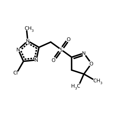 Cn1nc(Cl)nc1CS(=O)(=O)C1=NOC(C)(C)C1